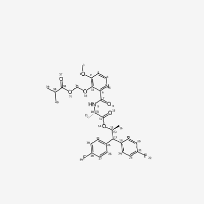 COc1ccnc(C(=O)N[C@@H](C)C(=O)O[C@@H](C)C(c2ccc(F)cc2)c2ccc(F)cc2)c1OCOC(=O)C(C)C